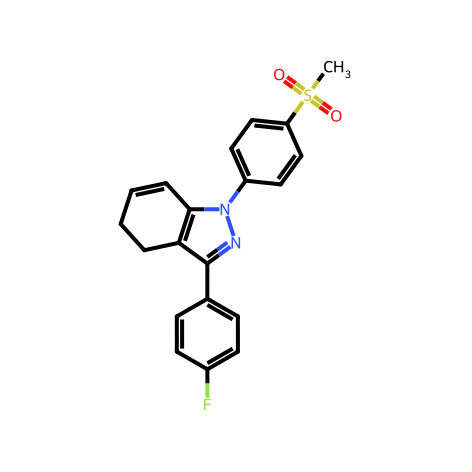 CS(=O)(=O)c1ccc(-n2nc(-c3ccc(F)cc3)c3c2C=CCC3)cc1